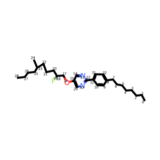 CCCCCCCCc1ccc(-c2ncc(OCC(F)CCCC(C)CCCC)cn2)cc1